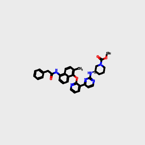 Cc1ccc2c(NC(=O)Cc3ccccc3)cccc2c1Oc1ncccc1-c1ccnc(N[C@H]2CCCN(C(=O)OC(C)(C)C)C2)n1